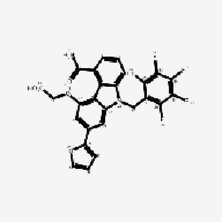 NC(=O)c1cccc2c1c1c(OCC(=O)O)cc(-c3ccco3)cc1n2Cc1c(F)c(F)c(F)c(F)c1F